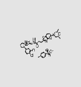 CC1CN(c2ccc3sc(CCC(=O)NCCC[N+]4(N)CCCC4c4ccc(Cl)c(Cl)c4)nc3n2)CC(C)O1.Cc1ccc(S(=O)(=O)[O-])cc1